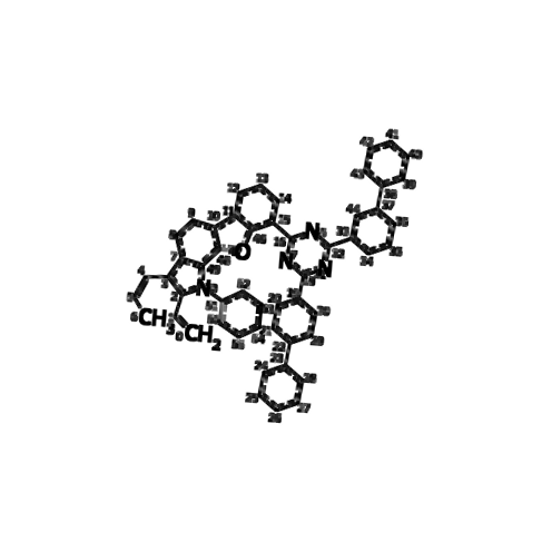 C=Cc1c(/C=C\C)c2ccc3c4cccc(-c5nc(-c6ccc(-c7ccccc7)cc6)nc(-c6cccc(-c7ccccc7)c6)n5)c4oc3c2n1-c1ccccc1